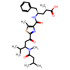 Cc1sc(C(=O)CC(C(C)C)N(C)C(=O)CC(C)C)nc1C(=O)N[C@@H](Cc1ccccc1)C[C@H](C)C(=O)O